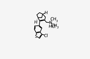 CN(C)CC1=C(c2ccc3scc(Cl)c3c2)[C@H]2CC[C@H](C1)C2.Cl